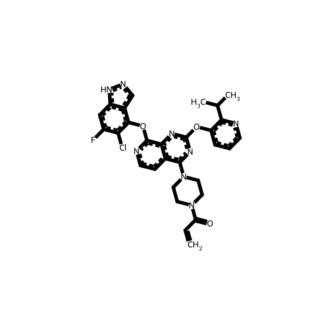 C=CC(=O)N1CCN(c2nc(Oc3cccnc3C(C)C)nc3c(Oc4c(Cl)c(F)cc5[nH]ncc45)nccc23)CC1